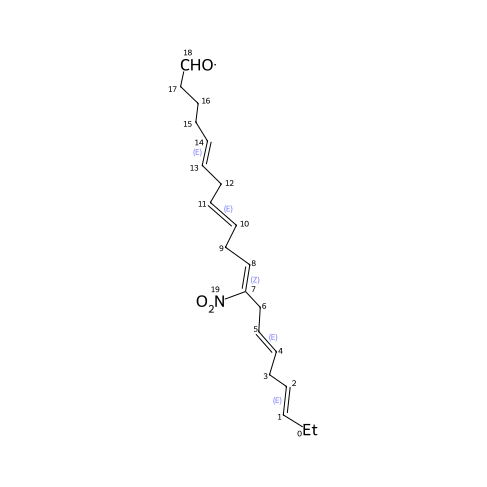 CC/C=C/C/C=C/C/C(=C/C/C=C/C/C=C/CCC[C]=O)[N+](=O)[O-]